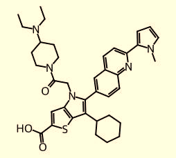 CCN(CC)C1CCN(C(=O)Cn2c(-c3ccc4nc(-c5cccn5C)ccc4c3)c(C3CCCCC3)c3sc(C(=O)O)cc32)CC1